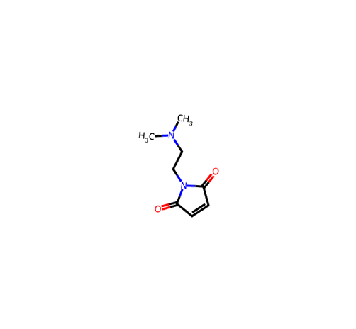 CN(C)CCN1C(=O)C=CC1=O